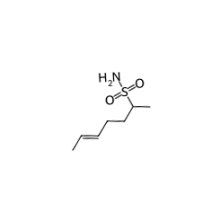 CC=CCCC(C)S(N)(=O)=O